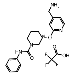 NCc1ccnc(O[C@H]2CCCN(C(=O)Nc3ccccc3)C2)c1.O=C(O)C(F)(F)F